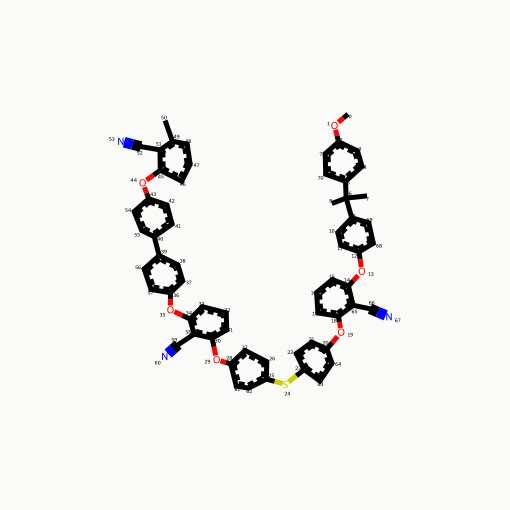 COc1ccc(C(C)(C)c2ccc(Oc3cccc(Oc4ccc(Sc5ccc(Oc6cccc(Oc7ccc(-c8ccc(Oc9cccc(C)c9C#N)cc8)cc7)c6C#N)cc5)cc4)c3C#N)cc2)cc1